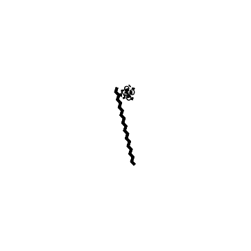 CCCCCCCCCCCCCCCCCCC(CC)[N+](C)(C)[Si](OC)(OC)OC